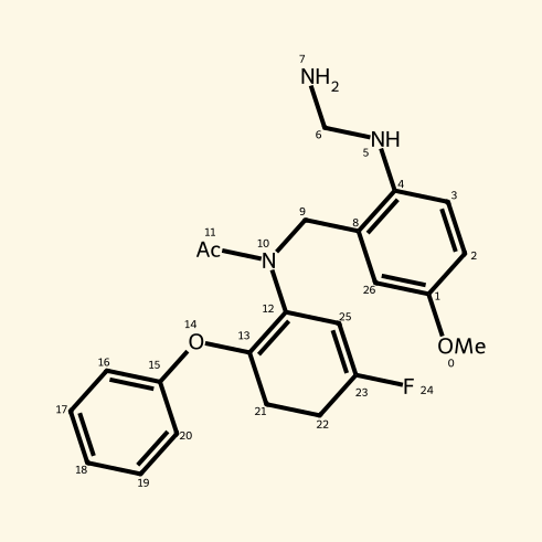 COc1ccc(NCN)c(CN(C(C)=O)C2=C(Oc3ccccc3)CCC(F)=C2)c1